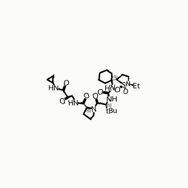 CCN1CC[C@@H](C2(NC(=O)N[C@H](C(=O)N3CCC[C@H]3C(=O)NCC(=O)C(=O)NC3CC3)C(C)(C)C)CCCCC2)S1(=O)=O